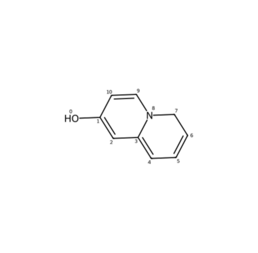 OC1=CC2=CC=CCN2C=C1